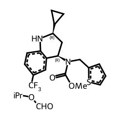 CC(C)OC=O.COC(=O)N(Cc1cccs1)[C@@H]1C[C@H](C2CC2)Nc2ccc(C(F)(F)F)cc21